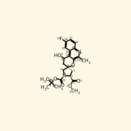 COC(=O)[C@@H]1C[C@@]2(CC(O)c3c(c(C)nc4ccc(F)cc34)O2)CN1C(=O)OC(C)(C)C